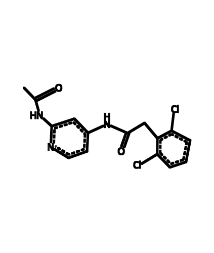 CC(=O)Nc1cc(NC(=O)Cc2c(Cl)cccc2Cl)ccn1